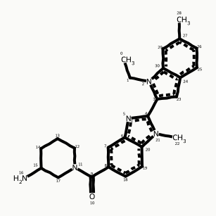 CCn1c(-c2nc3cc(C(=O)N4CCCC(N)C4)ccc3n2C)cc2ccc(C)cc21